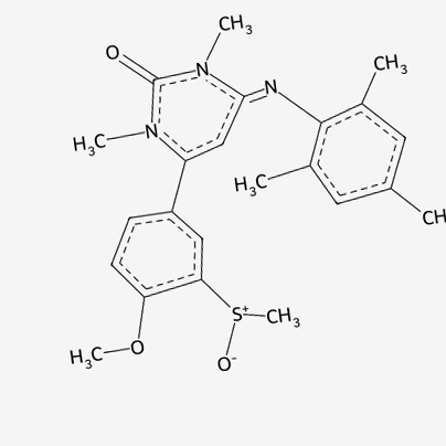 COc1ccc(-c2cc(=Nc3c(C)cc(C)cc3C)n(C)c(=O)n2C)cc1[S+](C)[O-]